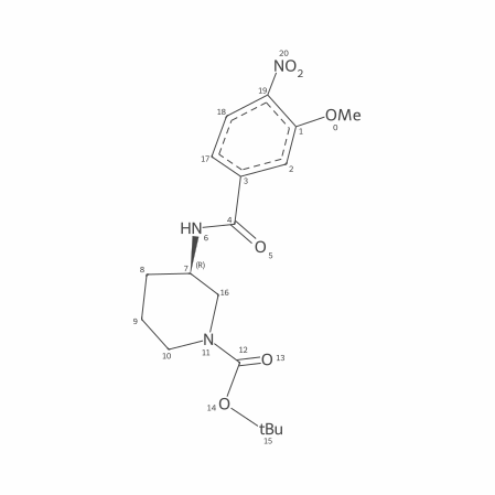 COc1cc(C(=O)N[C@@H]2CCCN(C(=O)OC(C)(C)C)C2)ccc1[N+](=O)[O-]